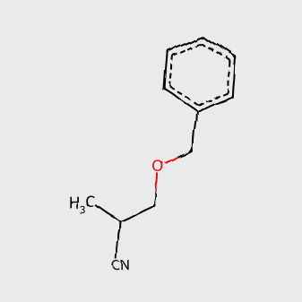 CC(C#N)COCc1ccccc1